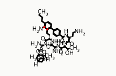 CCCCc1ccc(-c2ccc(C(=O)N[C@@H](CCN)C(=O)N[C@H](C(=O)N[C@@H](N)C(=O)N[C@@H](CCCCN)C(=O)N[C@@H](N)B3OC4C[C@@H]5C[C@@H](C5(C)C)[C@]4(C)O3)C(C)O)cc2)cc1